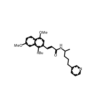 CCCCc1c(/C=C/C(=O)NC(C)CCCc2cccnc2)cc(OC)c2ccc(OC)cc12